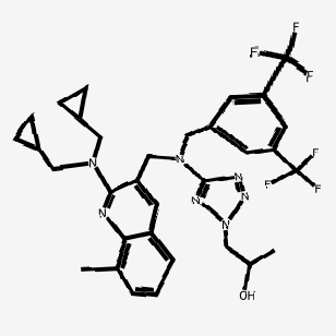 Cc1cccc2cc(CN(Cc3cc(C(F)(F)F)cc(C(F)(F)F)c3)c3nnn(CC(C)O)n3)c(N(CC3CC3)CC3CC3)nc12